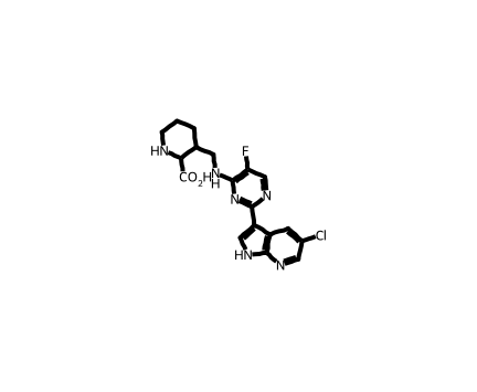 O=C(O)C1NCCCC1CNc1nc(-c2c[nH]c3ncc(Cl)cc23)ncc1F